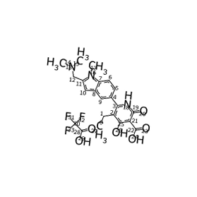 CCc1c(-c2ccc3c(c2)cc(CN(C)C)n3C)[nH]c(=O)c(C(=O)O)c1O.O=C(O)C(F)(F)F